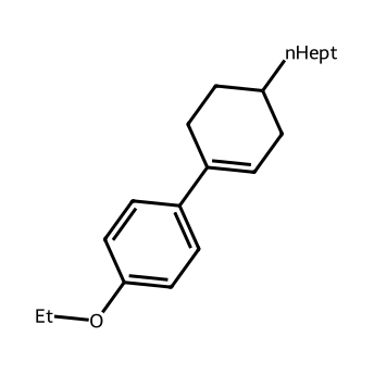 CCCCCCCC1CC=C(c2ccc(OCC)cc2)CC1